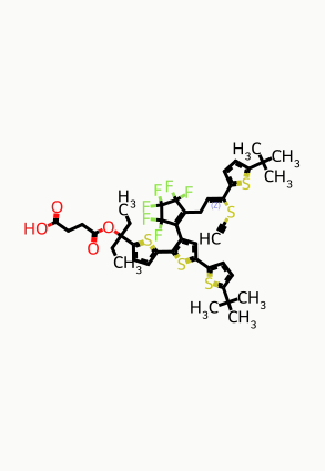 C#CS/C(=C\CC1=C(c2cc(-c3ccc(C(C)(C)C)s3)sc2-c2ccc(C(CC)(CC)OC(=O)CCC(=O)O)s2)C(F)(F)C(F)(F)C1(F)F)c1ccc(C(C)(C)C)s1